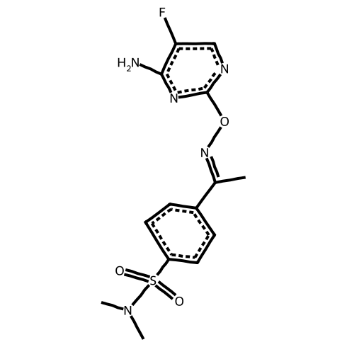 C/C(=N\Oc1ncc(F)c(N)n1)c1ccc(S(=O)(=O)N(C)C)cc1